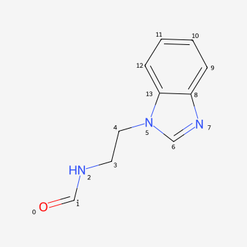 O=[C]NCCn1cnc2ccccc21